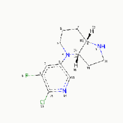 Fc1cc(N2CCC[C@@H]3NCC[C@@H]32)cnc1Cl